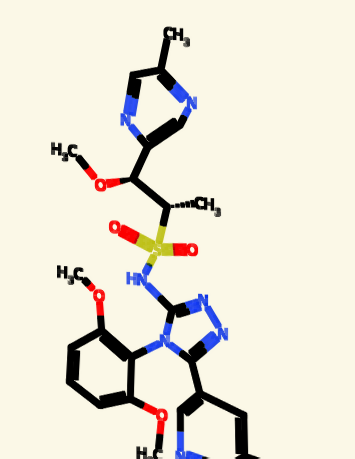 COc1cccc(OC)c1-n1c(NS(=O)(=O)[C@@H](C)[C@@H](OC)c2cnc(C)cn2)nnc1-c1cncc(C)c1